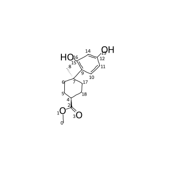 COC(=O)[C@H]1CC[C@@](C)(c2ccc(O)cc2O)CC1